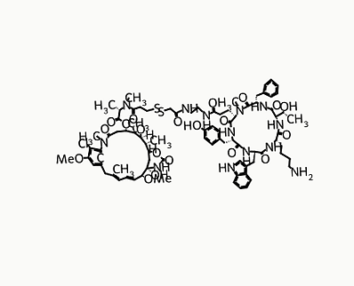 COc1cc2cc(c1Cl)N(C)C(=O)C[C@H](OC(=O)[C@H](C)N(C)C(=O)CCSSCC(=O)NCCNC(=O)CC[C@H]1C(=O)N[C@@H](Cc3ccc(O)cc3)C(=O)N[C@H](Cc3c[nH]c4ccccc34)C(=O)N[C@@H](CCCCN)C(=O)N[C@@H]([C@@H](C)O)C(=O)N[C@@H](Cc3ccccc3)C(=O)N1C)[C@]1(C)O[C@H]1[C@H](C)[C@@H]1C[C@@](O)(NC(=O)O1)[C@H](OC)/C=C/C=C(\C)C2